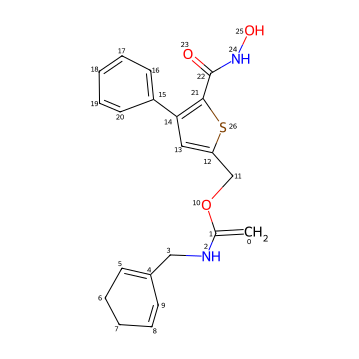 C=C(NCC1=CCCC=C1)OCc1cc(-c2ccccc2)c(C(=O)NO)s1